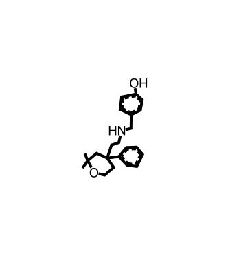 CC1(C)CC(CCNCc2ccc(O)cc2)(c2ccccc2)CCO1